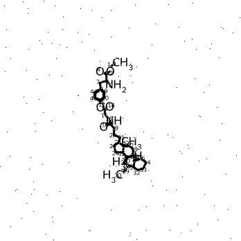 CCOC(=O)C(N)Cc1ccc(OC(=O)CNC(=O)CCCC2CCC3C4C[C@H](CC)C5CCCCC5(C)[C@H]4CCC23C)cc1